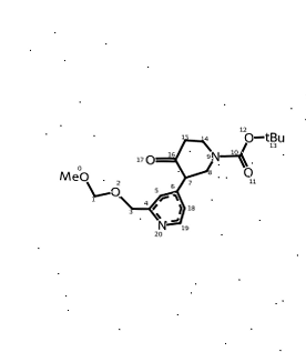 COCOCc1cc(C2CN(C(=O)OC(C)(C)C)CCC2=O)ccn1